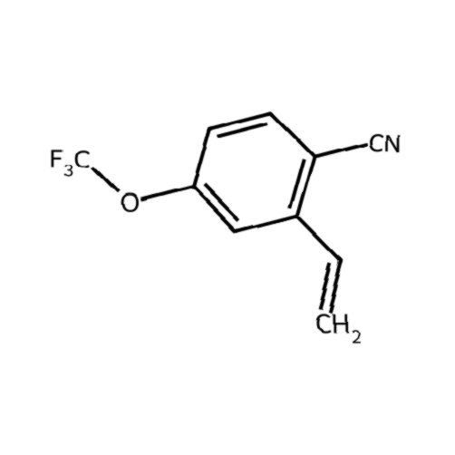 C=Cc1cc(OC(F)(F)F)ccc1C#N